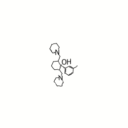 Cc1cccc(C2(O)C(CN3CCCCC3)CCCC2CN2CCCCC2)c1